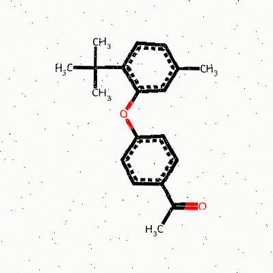 CC(=O)c1ccc(Oc2cc(C)ccc2C(C)(C)C)cc1